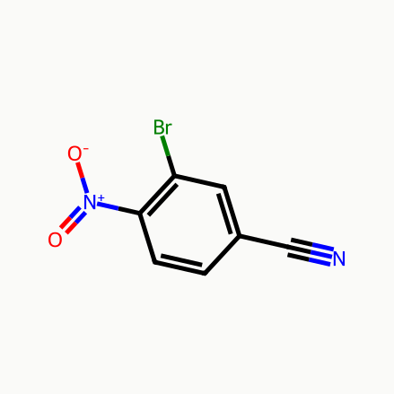 N#Cc1ccc([N+](=O)[O-])c(Br)c1